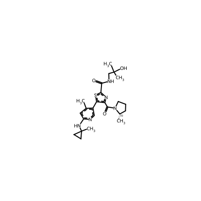 Cc1cc(NC2(C)CC2)ncc1-c1sc(C(=O)NCC(C)(C)O)nc1C(=O)N1CCC[C@@H]1C